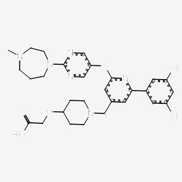 CN1CCCN(c2ncc(Oc3cc(CN4CCC(OCC(=O)O)CC4)cc(-c4cc(Cl)cc(Cl)c4)n3)cn2)CC1